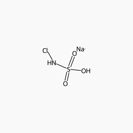 O=S(=O)(O)NCl.[Na]